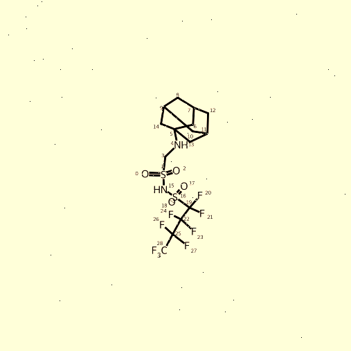 O=S(=O)(CNC12CC3CC(CC(C3)C1)C2)NS(=O)(=O)C(F)(F)C(F)(F)C(F)(F)C(F)(F)F